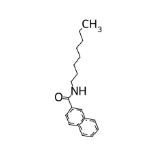 CCCCCCCCNC(=O)c1ccc2ccccc2c1